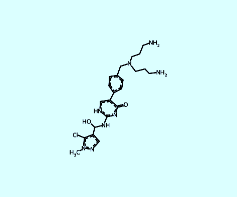 Cn1ncc(C(O)Nc2nc(=O)c(-c3ccc(CN(CCCN)CCCN)cc3)c[nH]2)c1Cl